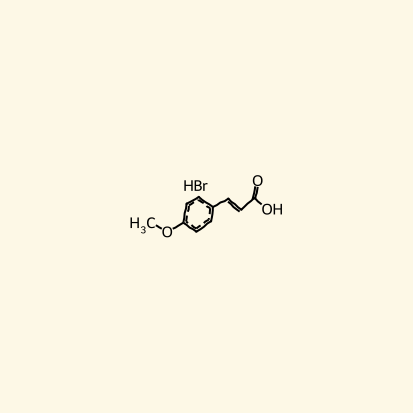 Br.COc1ccc(C=CC(=O)O)cc1